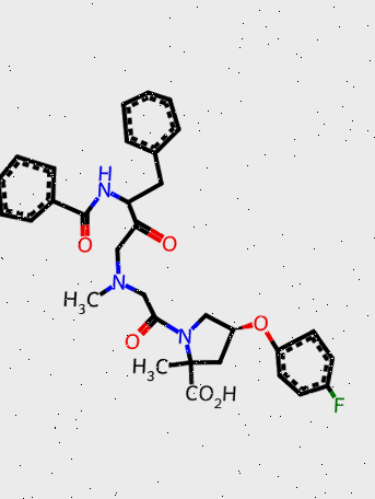 CN(CC(=O)C(Cc1ccccc1)NC(=O)c1ccccc1)CC(=O)N1C[C@@H](Oc2ccc(F)cc2)CC1(C)C(=O)O